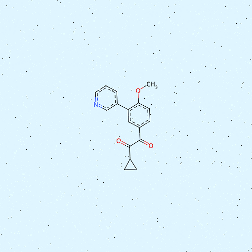 COc1ccc(C(=O)C(=O)C2CC2)cc1-c1cccnc1